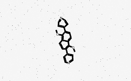 COc1c(-c2ccncc2)ccc2c(OC)c(-c3ccncc3)ccc12